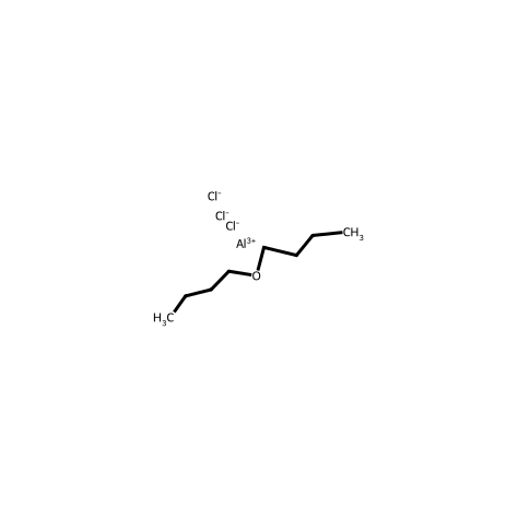 CCCCOCCCC.[Al+3].[Cl-].[Cl-].[Cl-]